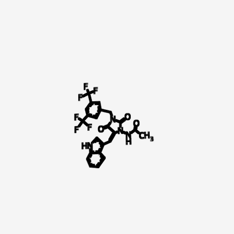 CC(=O)NN1C(=O)N(Cc2cc(C(F)(F)F)cc(C(F)(F)F)c2)C(=O)C1=Cc1c[nH]c2ccccc12